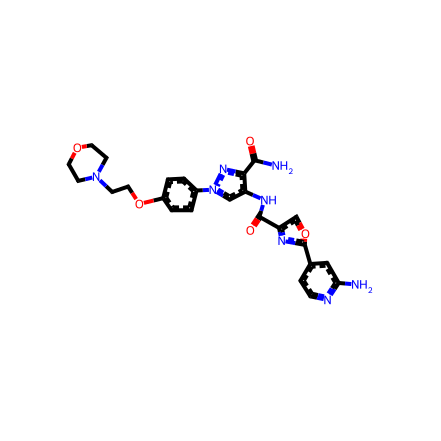 NC(=O)c1nn(-c2ccc(OCCN3CCOCC3)cc2)cc1NC(=O)c1coc(-c2ccnc(N)c2)n1